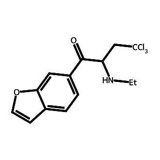 CCNC(CC(Cl)(Cl)Cl)C(=O)c1ccc2ccoc2c1